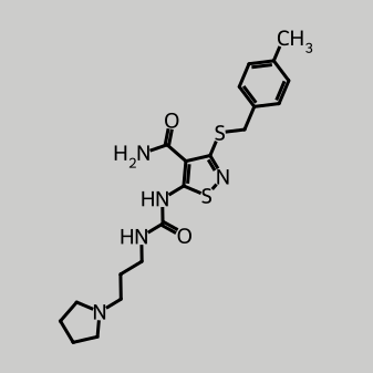 Cc1ccc(CSc2nsc(NC(=O)NCCCN3CCCC3)c2C(N)=O)cc1